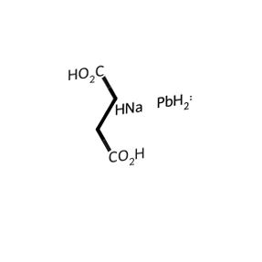 O=C(O)CCC(=O)O.[NaH].[PbH2]